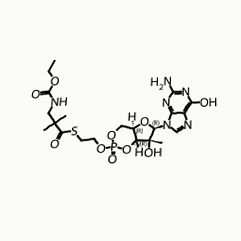 CCOC(=O)NCC(C)(C)C(=O)SCCOP1(=O)OC[C@H]2O[C@@H](n3cnc4c(O)nc(N)nc43)[C@](C)(O)[C@@H]2O1